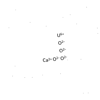 [Ca+2].[O-2].[O-2].[O-2].[O-2].[U+6]